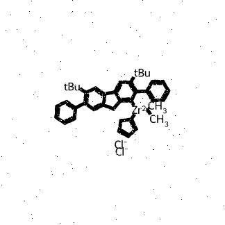 C[C](C)=[Zr+2]([C]1=CC=CC1)[c]1c2c(cc(C(C)(C)C)c1-c1ccccc1)-c1cc(C(C)(C)C)c(-c3ccccc3)cc1C2.[Cl-].[Cl-]